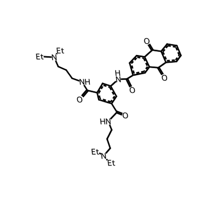 CCN(CC)CCCNC(=O)c1cc(NC(=O)c2ccc3c(c2)C(=O)c2ccccc2C3=O)cc(C(=O)NCCCN(CC)CC)c1